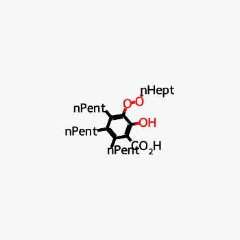 CCCCCCCOOc1c(O)c(C(=O)O)c(CCCCC)c(CCCCC)c1CCCCC